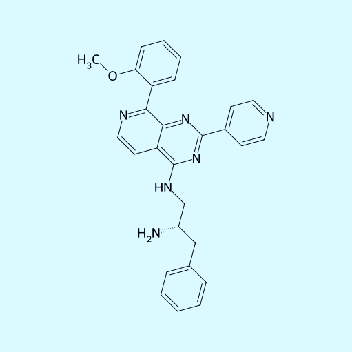 COc1ccccc1-c1nccc2c(NC[C@@H](N)Cc3ccccc3)nc(-c3ccncc3)nc12